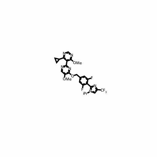 COc1cnc(-c2c(OC)ncnc2C2CC2)nc1OCc1cc(F)c(-c2nc(C(F)(F)F)cn2C(C)C)c(F)c1